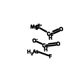 F[AsH2].[Mg+2].[O]=[GeH][O-].[O]=[GeH][O-]